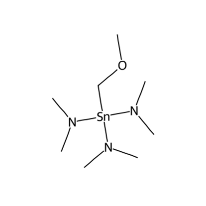 CO[CH2][Sn]([N](C)C)([N](C)C)[N](C)C